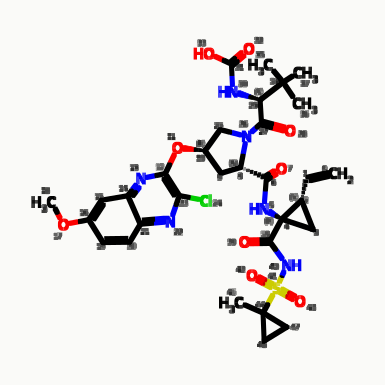 C=C[C@@H]1C[C@]1(NC(=O)[C@@H]1C[C@@H](Oc2nc3cc(OC)ccc3nc2Cl)CN1C(=O)[C@@H](NC(=O)O)C(C)(C)C)C(=O)NS(=O)(=O)C1(C)CC1